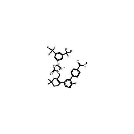 COC(=O)c1ccc(-c2cc(C3=C(CN4C(=O)O[C@H](c5cc(C(F)(F)F)cc(C(F)(F)F)c5)[C@@H]4C)CC(C)(C)CC3)ccc2F)cc1